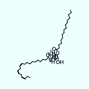 [2H]C([2H])(O)[C@]([2H])(OC(=O)CCCCCCCCC/C=C\C/C=C\C/C=C\CC)C([2H])([2H])OC(=O)CCCCCCCCCCCCCCCC